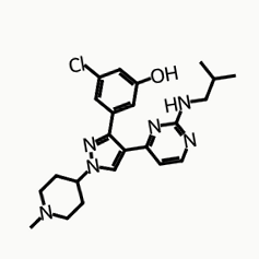 CC(C)CNc1nccc(-c2cn(C3CCN(C)CC3)nc2-c2cc(O)cc(Cl)c2)n1